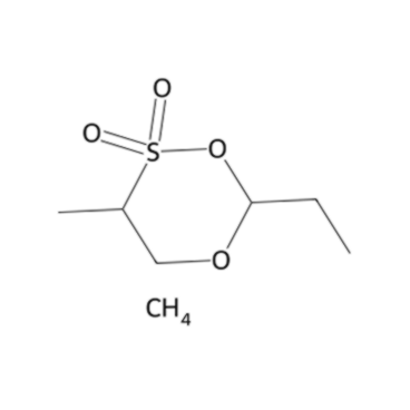 C.CCC1OCC(C)S(=O)(=O)O1